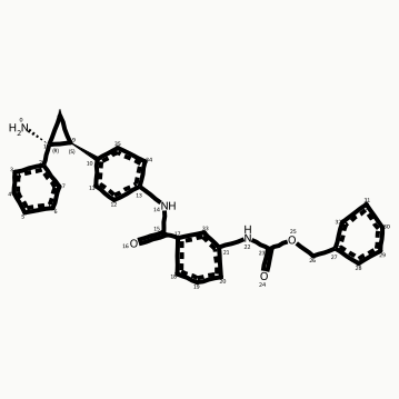 N[C@]1(c2ccccc2)C[C@H]1c1ccc(NC(=O)c2cccc(NC(=O)OCc3ccccc3)c2)cc1